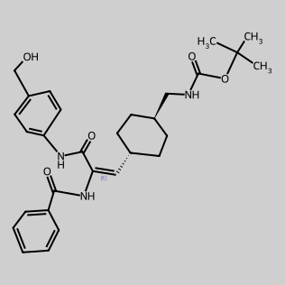 CC(C)(C)OC(=O)NC[C@H]1CC[C@H](/C=C(/NC(=O)c2ccccc2)C(=O)Nc2ccc(CO)cc2)CC1